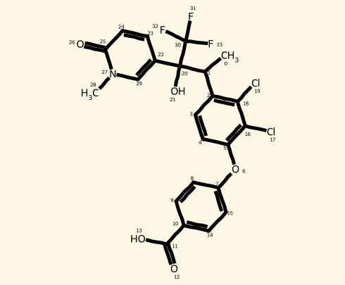 CC(c1ccc(Oc2ccc(C(=O)O)cc2)c(Cl)c1Cl)C(O)(c1ccc(=O)n(C)c1)C(F)(F)F